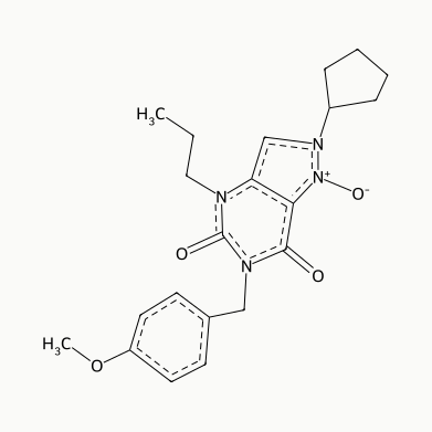 CCCn1c(=O)n(Cc2ccc(OC)cc2)c(=O)c2c1cn(C1CCCC1)[n+]2[O-]